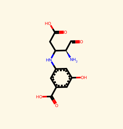 N[C@H](C=O)C(CC(=O)O)Nc1cc(O)cc(C(=O)O)c1